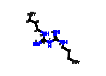 CC(C)CCCNC(=N)NC(=N)NCCCC(C)C